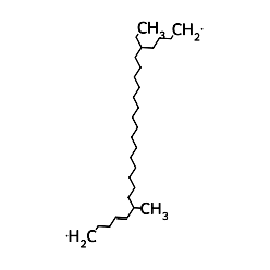 [CH2]CCC=CC(C)CCCCCCCCCCCCCCCC(CC)CCC[CH2]